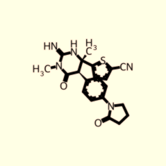 CN1C(=N)N[C@](C)(c2ccc(C#N)s2)[C@@H](c2ccc(N3CCCC3=O)cc2)C1=O